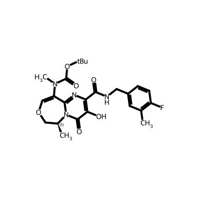 Cc1cc(CNC(=O)c2nc3n(c(=O)c2O)[C@@H](C)COC=C3N(C)C(=O)OC(C)(C)C)ccc1F